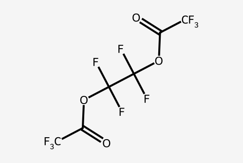 O=C(OC(F)(F)C(F)(F)OC(=O)C(F)(F)F)C(F)(F)F